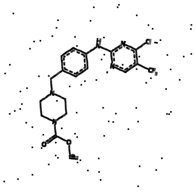 CC(C)(C)OC(=O)N1CCN(Cc2ccc(Nc3ncc(C(F)(F)F)c(Cl)n3)cc2)CC1